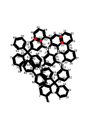 Cc1cccc(C(c2ccccc2)(c2ccccc2)c2cccc(N3c4cccc(-c5ccccc5)c4B4c5cccc(-c6ccccc6)c5N(c5cccc(C(c6ccccc6)(c6ccccc6)c6cccc(C)c6)c5)c5cc(-n6c7ccccc7c7ccccc76)cc3c54)c2)c1